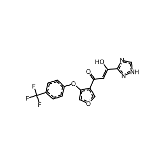 O=C(C=C(O)c1nc[nH]n1)c1cocc1Oc1ccc(C(F)(F)F)cc1